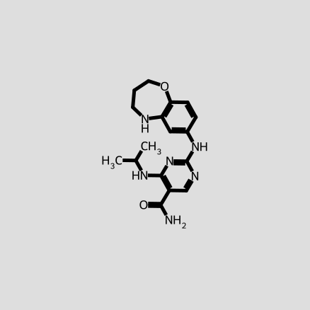 CC(C)Nc1nc(Nc2ccc3c(c2)NCCCO3)ncc1C(N)=O